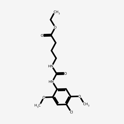 CCOC(=O)CCCNC(=O)Nc1cc(OC)c(Cl)cc1OC